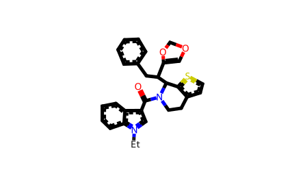 CCn1cc(C(=O)N2CCc3ccsc3C2C(Cc2ccccc2)C2=COCO2)c2ccccc21